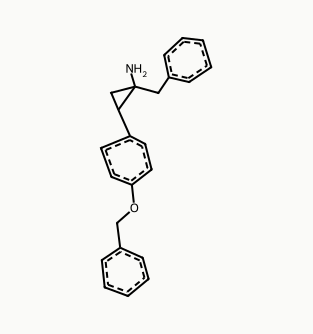 NC1(Cc2ccccc2)CC1c1ccc(OCc2ccccc2)cc1